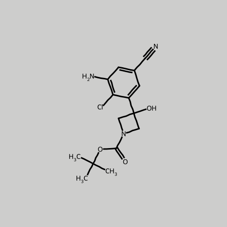 CC(C)(C)OC(=O)N1CC(O)(c2cc(C#N)cc(N)c2Cl)C1